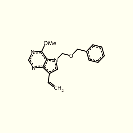 C=Cc1cn(COCc2ccccc2)c2c(OC)ncnc12